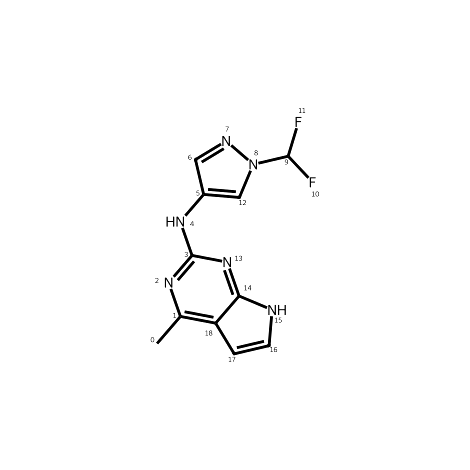 Cc1nc(Nc2cnn(C(F)F)c2)nc2[nH]ccc12